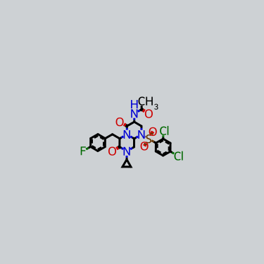 CC(=O)NC1CN(S(=O)(=O)c2ccc(Cl)cc2Cl)C2CN(C3CC3)C(=O)C(Cc3ccc(F)cc3)N2C1=O